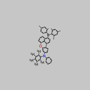 [2H]c1c([2H])c([2H])c(N(c2ccccc2)c2ccc3c(c2)Oc2cccc4c(B(c5ccc(C)cc5C)c5c(C)cc(C)cc5C)ccc-3c24)c([2H])c1[2H]